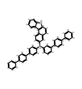 c1ccc(-c2ccc(-c3ccc(N(c4cccc(-c5ccc(-c6ccccc6)cc5)c4)c4ccc5c(ccc6oc7ccccc7c65)c4)cc3)cc2)cc1